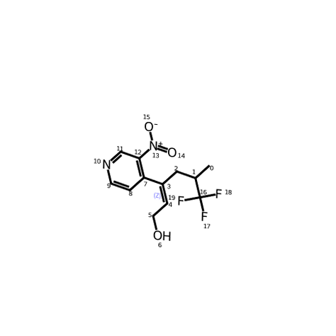 CC(C/C(=C/CO)c1ccncc1[N+](=O)[O-])C(F)(F)F